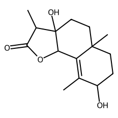 CC1=C2C3OC(=O)C(C)C3(O)CCC2(C)CCC1O